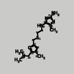 Cc1cc(CSCCNc2nc(N)nn2C)oc1CN(C)C